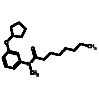 CCCCCCCC(=O)N(C)c1cccc(OC2CCCC2)c1